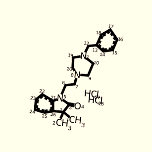 CC1(C)C(=O)N(CCN2CCN(Cc3ccccc3)CC2)c2ccccc21.Cl.Cl